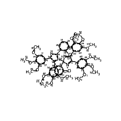 COc1cc(C2=NC(c3ccccc3Cl)(n3c(-c4ccccc4Cl)nc(-c4cc(OC)c(OC)c(OC)c4)c3-c3cc(OC)c(OC)c(OC)c3)N=C2c2cc(OC)c(OC)c(OC)c2)cc(OC)c1OC